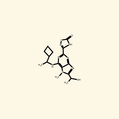 CC(O)c1nc2nc(-c3noc(=O)[nH]3)nc(NC(C)C3CCC3)c2n1C